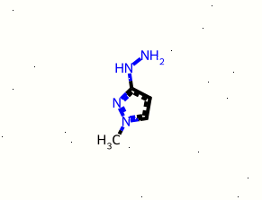 Cn1ccc(NN)n1